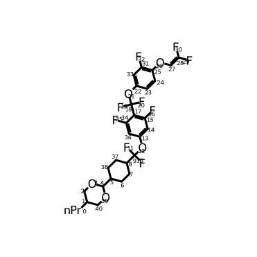 CCCC1COC(C2CCC(C(F)(F)Oc3cc(F)c(C(F)(F)Oc4ccc(OC=C(F)F)c(F)c4)c(F)c3)CC2)OC1